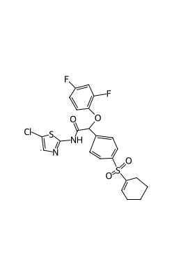 O=C(Nc1n[c]c(Cl)s1)C(Oc1ccc(F)cc1F)c1ccc(S(=O)(=O)C2=CCCCC2)cc1